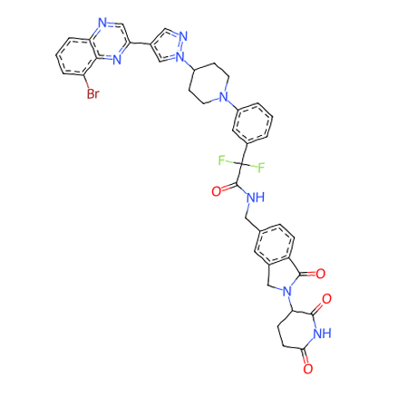 O=C1CCC(N2Cc3cc(CNC(=O)C(F)(F)c4cccc(N5CCC(n6cc(-c7cnc8cccc(Br)c8n7)cn6)CC5)c4)ccc3C2=O)C(=O)N1